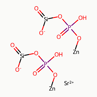 O=[Si]([O-])OP(=O)(O)[O][Zn].O=[Si]([O-])OP(=O)(O)[O][Zn].[Sr+2]